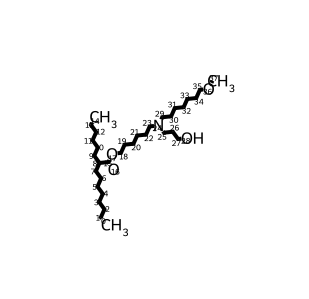 CCCCCCCCC(CCCCCC)C(=O)OCCCCCCN(CCCO)CCCCCCCOC